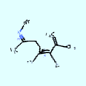 C=C(C)/C(CC)=C(/CCC)C/C(C)=N\CCC